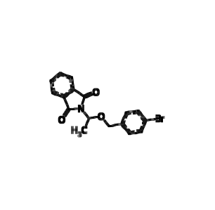 CC(OCc1ccc(Br)cc1)N1C(=O)c2ccccc2C1=O